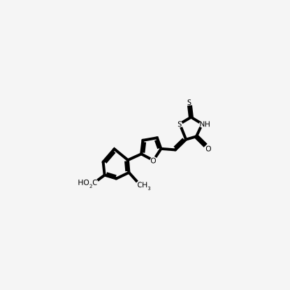 Cc1cc(C(=O)O)ccc1-c1ccc(/C=C2\SC(=S)NC2=O)o1